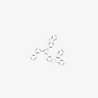 CC1(C)c2ccccc2-c2ccc(-c3cc(-c4cccc(-c5ccccc5)c4)nc(-c4cccc(-c5nc6ccccc6c6c5sc5ccccc56)c4)n3)cc21